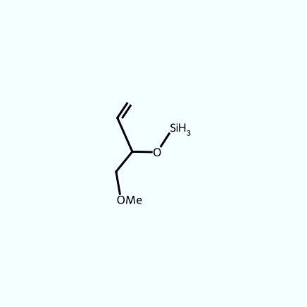 C=CC(COC)O[SiH3]